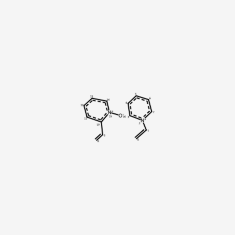 C=C[n+]1ccccc1.C=Cc1cccc[n+]1[O-]